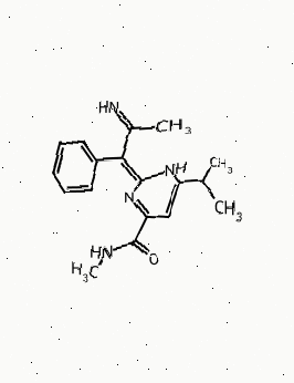 CNC(=O)C1=N/C(=C(/C(C)=N)c2ccccc2)NC(C(C)C)=C1